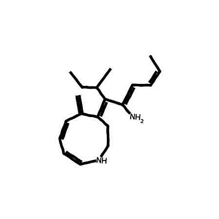 C=C1/C=C\C=C/NCC\C1=C(/C(N)=C/C=C\C)C(C)CC